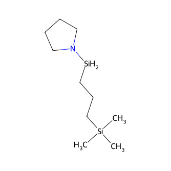 C[Si](C)(C)CCC[SiH2]N1CCCC1